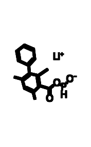 Cc1cc(C)c(-c2ccccc2)c(C)c1C(=O)OP[O-].[Li+]